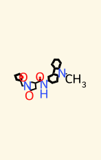 CCn1c2ccccc2c2cc(NC(=O)C3CC(=O)N(Cc4ccco4)C3)ccc21